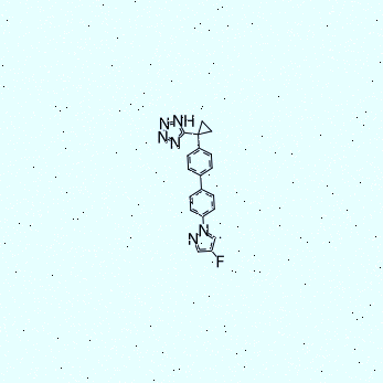 Fc1[c]n(-c2ccc(-c3ccc(C4(c5nnn[nH]5)CC4)cc3)cc2)nc1